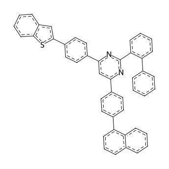 c1ccc(-c2ccccc2-c2nc(-c3ccc(-c4cc5ccccc5s4)cc3)cc(-c3ccc(-c4cccc5ccccc45)cc3)n2)cc1